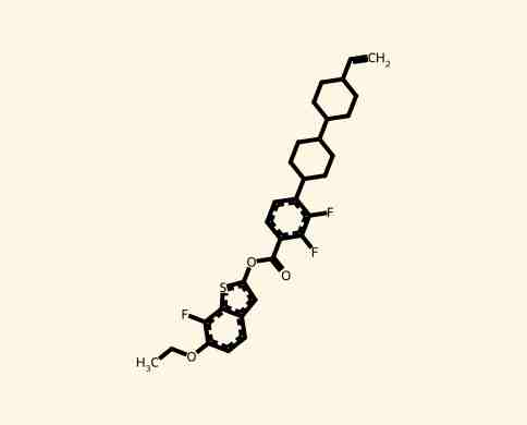 C=CC1CCC(C2CCC(c3ccc(C(=O)Oc4cc5ccc(OCC)c(F)c5s4)c(F)c3F)CC2)CC1